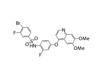 COc1cc2nccc(Oc3ccc(NS(=O)(=O)c4ccc(Br)c(F)c4)c(F)c3)c2cc1OC